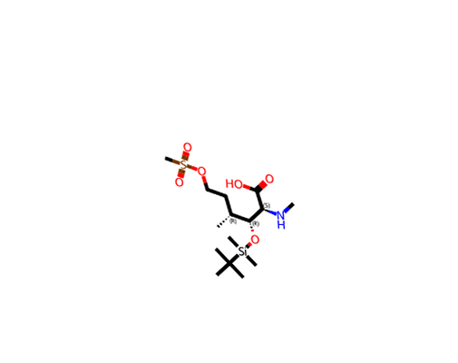 CN[C@H](C(=O)O)[C@H](O[Si](C)(C)C(C)(C)C)[C@H](C)CCOS(C)(=O)=O